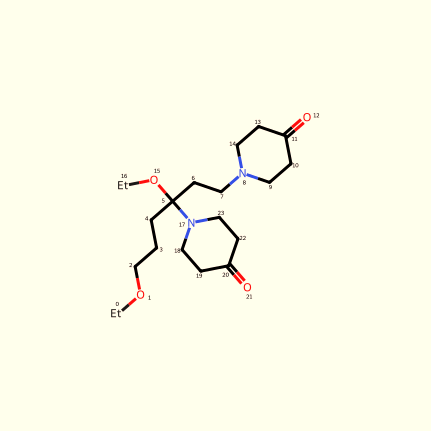 CCOCCCC(CCN1CCC(=O)CC1)(OCC)N1CCC(=O)CC1